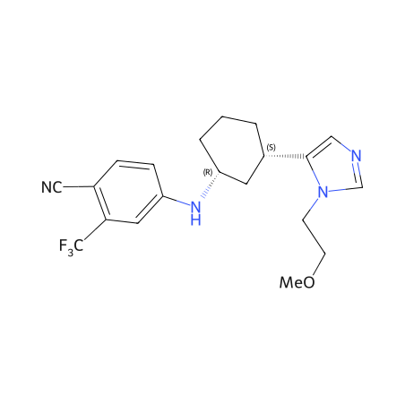 COCCn1cncc1[C@H]1CCC[C@@H](Nc2ccc(C#N)c(C(F)(F)F)c2)C1